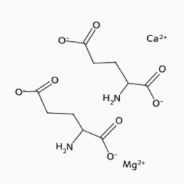 NC(CCC(=O)[O-])C(=O)[O-].NC(CCC(=O)[O-])C(=O)[O-].[Ca+2].[Mg+2]